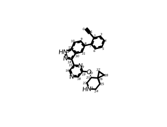 C#Cc1ccccc1-c1ccc2[nH]nc(-c3cncc(O[C@H]4CNCCC45CC5)n3)c2c1